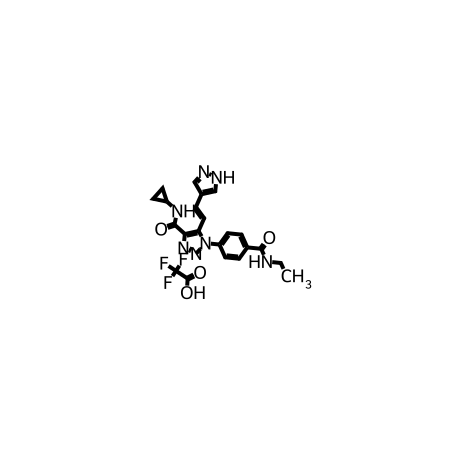 CCNC(=O)c1ccc(-n2nnc(C(=O)NC3CC3)c2C=Cc2cn[nH]c2)cc1.O=C(O)C(F)(F)F